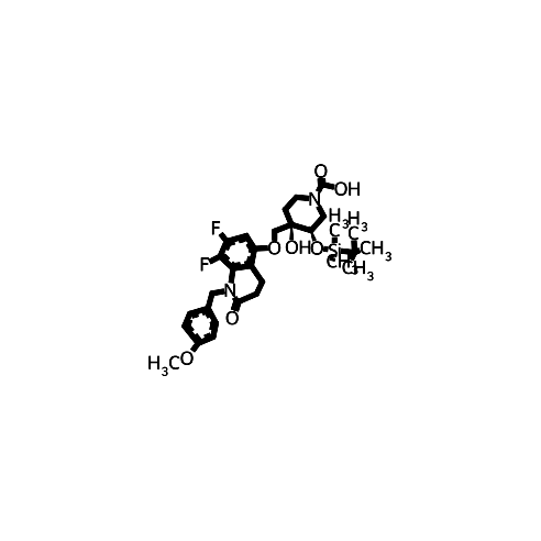 COc1ccc(CN2C(=O)CCc3c(OC[C@]4(O)CCN(C(=O)O)C[C@H]4O[Si](C)(C)C(C)(C)C)cc(F)c(F)c32)cc1